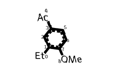 CCc1cc(C(C)=O)ccc1OC